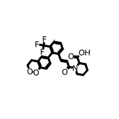 O=C(O)C1CCCCN1C(=O)/C=C/c1cc[c]c(C(F)(F)F)c1-c1ccc2c(c1)CCOO2